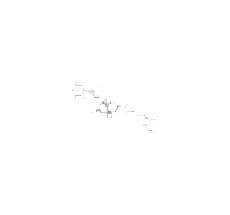 O[C@H](/C=C/[C@@H]1[C@H]2CC(CCCCCN3CCOCC3)=C[C@H]2C[C@H]1O)C1CCCCC1